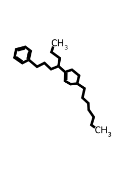 CCCCCCCC1CC=C(C(CCC)CCCc2ccccc2)CC1